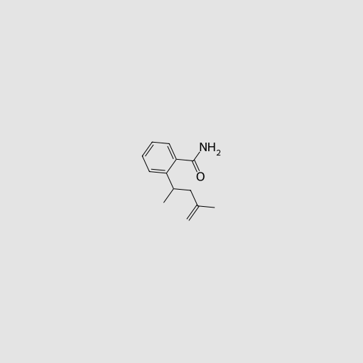 C=C(C)CC(C)c1ccccc1C(N)=O